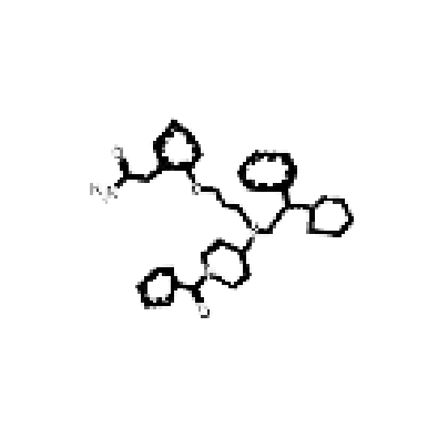 NC(=O)Cc1ccccc1OCCCN(CC(c1ccccc1)C1CCCCC1)C1CCN(C(=O)c2ccccc2)CC1